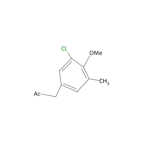 COc1c(C)cc(CC(C)=O)cc1Cl